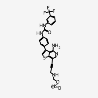 Nc1ncc(C#CCNCO[SH](=O)=O)c2scc(-c3ccc(NC(=O)Nc4cccc(C(F)(F)F)c4)cc3)c12